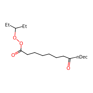 CCCCCCCCCCC(=O)CCCCCCC(=O)OOC(CC)CC